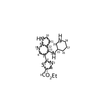 CCOC(=O)c1cnc(-c2cnc3[nH]ccc3c2NC2CCCNC2)s1